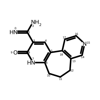 N=C(N)c1cc2c([nH]c1=O)CCCc1cnccc1-2